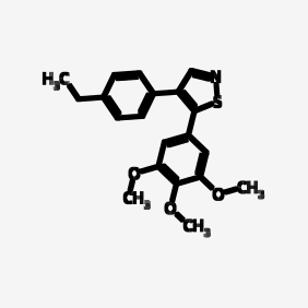 CCc1ccc(-c2cnsc2-c2cc(OC)c(OC)c(OC)c2)cc1